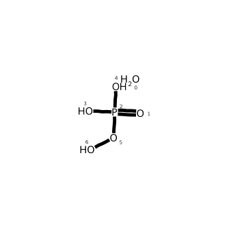 O.O=P(O)(O)OO